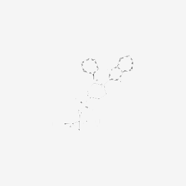 C[C@@H]1C[C@@]1(NS(=O)(=O)N1CCN(c2nc3ccccc3s2)[C@H](c2ccccc2)C1)C(=O)O